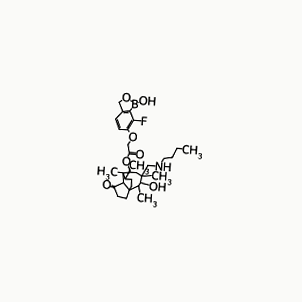 CCCCNCC1(C)CC(OC(=O)COc2ccc3c(c2F)B(O)OC3)C2(C)C(C)CCC3(CCC(=O)C32)C(C)C1O